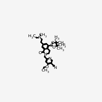 CCOc1cc(CN2CCc3c(B4OC(C)(C)C(C)(C)O4)cc(CCN(C)CC)cc3C2=O)ncc1C#N